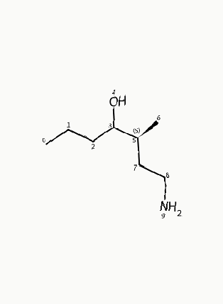 CCCC(O)[C@@H](C)CCN